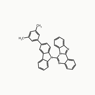 Cc1cc(C)cc(-c2ccc3c(c2)c2ccccc2n3-c2nc3ccccc3c3nc4ccccc4n23)c1